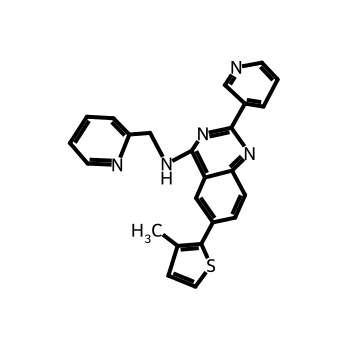 Cc1ccsc1-c1ccc2nc(-c3cccnc3)nc(NCc3ccccn3)c2c1